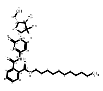 CCCCCCCCCCCOC(=O)c1ccccc1C(=O)Nc1ccn([C@@H]2O[C@H](CO)[C@@H](O)C2(F)F)c(=O)n1